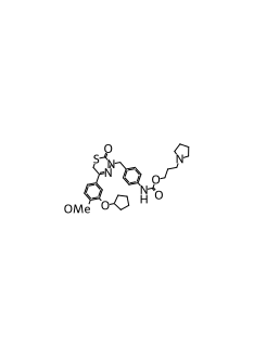 COc1ccc(C2=NN(Cc3ccc(NC(=O)OCCCN4CCCC4)cc3)C(=O)SC2)cc1OC1CCCC1